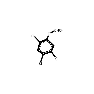 O=[C]Oc1cc(Cl)c(Cl)cc1Cl